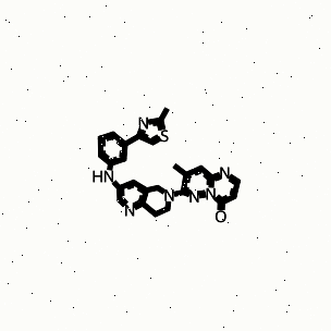 Cc1nc(-c2cccc(Nc3cnc4c(c3)CN(c3nn5c(=O)ccnc5cc3C)CC4)c2)cs1